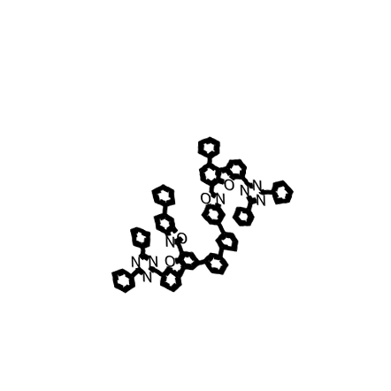 c1ccc(-c2ccc3nc(-c4cc(-c5cccc(-c6cccc(-c7ccc8oc(-c9ccc(-c%10ccccc%10)c%10c9oc9c(-c%11nc(-c%12ccccc%12)nc(-c%12ccccc%12)n%11)cccc9%10)nc8c7)c6)c5)cc5c4oc4c(-c6nc(-c7ccccc7)nc(-c7ccccc7)n6)cccc45)oc3c2)cc1